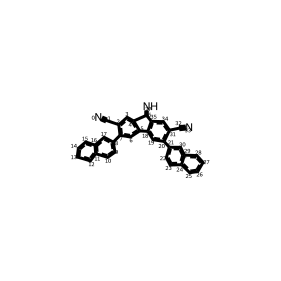 N#Cc1cc2c(cc1-c1ccc3ccccc3c1)-c1cc(-c3ccc4ccccc4c3)c(C#N)cc1C2=N